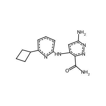 NC(=O)c1nnc(N)cc1Nc1cccc(C2CCC2)n1